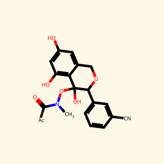 CC(=O)C(=O)N(C)OC1(O)c2c(O)cc(O)cc2COC1c1cccc(C#N)c1